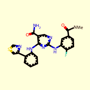 CNC(=O)c1ccc(F)c(Nc2ncc(C(N)=O)c(Nc3ccccc3-c3cscn3)n2)c1